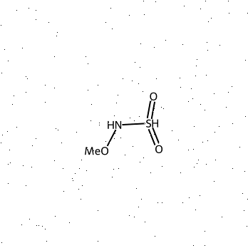 CON[SH](=O)=O